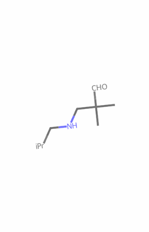 CC(C)CNCC(C)(C)C=O